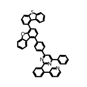 c1ccc(-c2cc(-c3ccc(-c4ccc(-c5cccc6sc7ccccc7c56)c5oc6ccccc6c45)cc3)nc(-c3ccccc3-c3cccnc3)n2)cc1